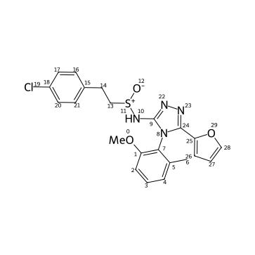 COc1cccc(C)c1-n1c(N[S+]([O-])CCc2ccc(Cl)cc2)nnc1-c1ccco1